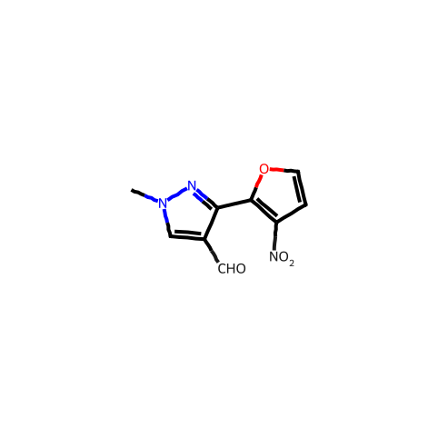 Cn1cc(C=O)c(-c2occc2[N+](=O)[O-])n1